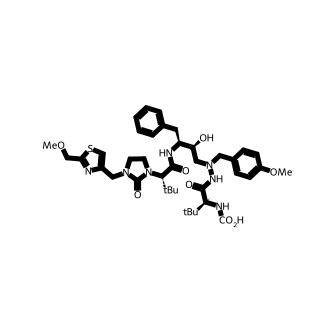 COCc1nc(CN2CCN([C@H](C(=O)N[C@@H](Cc3ccccc3)[C@@H](O)CN(Cc3ccc(OC)cc3)NC(=O)[C@@H](NC(=O)O)C(C)(C)C)C(C)(C)C)C2=O)cs1